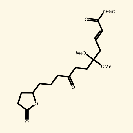 CCCCCC(=O)C=CCC(CCC(=O)CCCC1CCC(=O)O1)(OC)OC